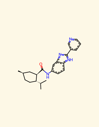 CC(C)[C@@H]1CC[C@@H](C)C[C@H]1C(=O)Nc1ccc2[nH]c(-c3cccnc3)nc2c1